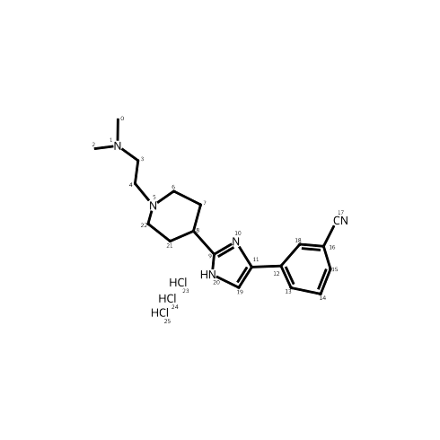 CN(C)CCN1CCC(c2nc(-c3cccc(C#N)c3)c[nH]2)CC1.Cl.Cl.Cl